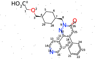 O=C(O)COC[C@H]1CC[C@@H](Cn2nc(-c3ccncc3)c(C3=CC=C=C=C3)cc2=O)CC1